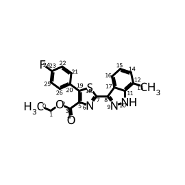 CCOC(=O)c1nc(-c2n[nH]c3c(C)cccc23)sc1-c1ccc(F)cc1